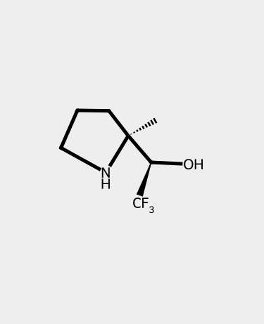 C[C@@]1([C@@H](O)C(F)(F)F)CCCN1